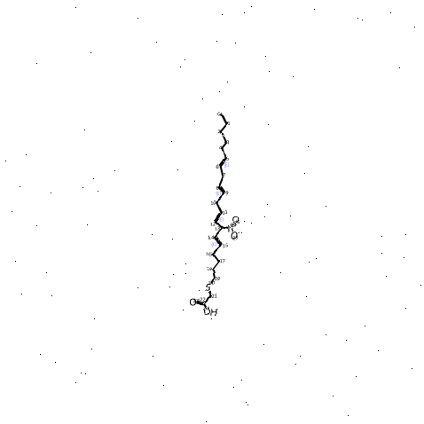 CCCCC/C=C/C/C=C/C/C=C/C(/C=C/CCCCSCC(=O)O)[N+](=O)[O-]